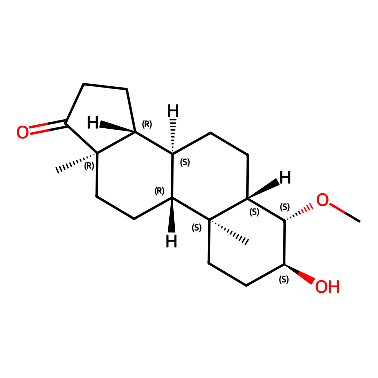 CO[C@H]1[C@H]2CC[C@H]3[C@@H](CC[C@@]4(C)C(=O)CC[C@H]34)[C@]2(C)CC[C@@H]1O